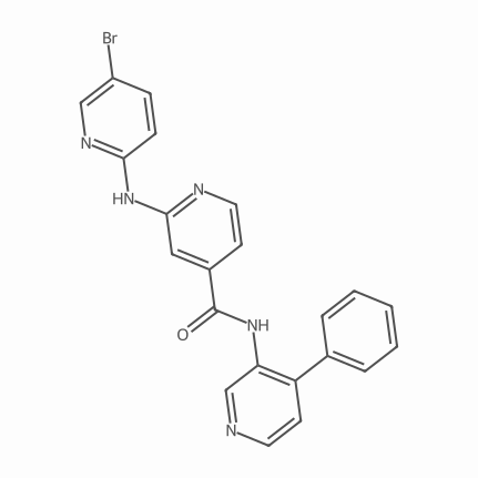 O=C(Nc1cnccc1-c1ccccc1)c1ccnc(Nc2ccc(Br)cn2)c1